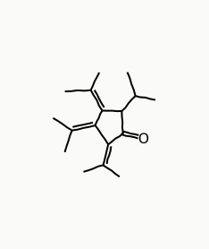 CC(C)=C1C(=O)C(C(C)C)C(=C(C)C)C1=C(C)C